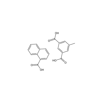 Cc1cc(C(=O)O)cc(C(=O)O)c1.O=C(O)c1cccc2ccccc12